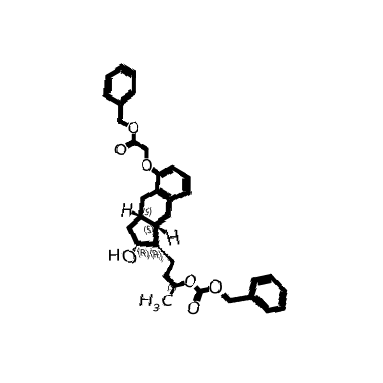 C[C@@H](CC[C@@H]1[C@H]2Cc3cccc(OCC(=O)OCc4ccccc4)c3C[C@H]2C[C@H]1O)OC(=O)OCc1ccccc1